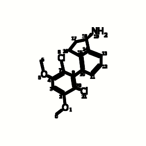 COc1cc(OC)c(Cl)c(-c2cccc3c2CC[C@H]3N)c1Cl